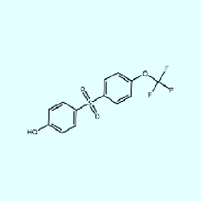 O=S(=O)(c1ccc(O)cc1)c1ccc(OC(F)(F)F)cc1